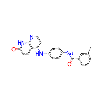 Cc1cccc(C(=O)Nc2ccc(Nc3ccnc4[nH]c(=O)ccc34)cc2)c1